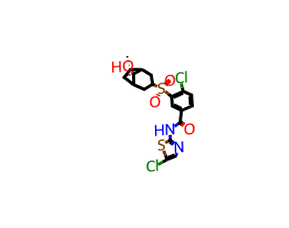 C[C@H]1CC2CC(S(=O)(=O)c3cc(C(=O)Nc4ncc(Cl)s4)ccc3Cl)CC1[C@]2(C)O